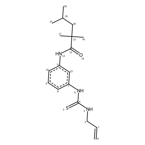 C=CCNC(=S)Nc1cccc(NC(=O)C(C)(C)CC(C)C)c1